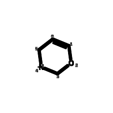 C1=COC[N]C1